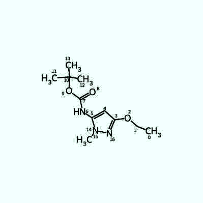 CCOc1cc(NC(=O)OC(C)(C)C)n(C)n1